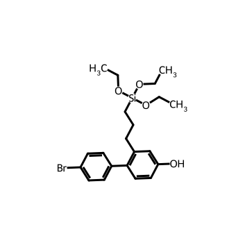 CCO[Si](CCCc1cc(O)ccc1-c1ccc(Br)cc1)(OCC)OCC